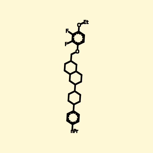 CCCc1ccc(C2CCC(C3CCC4CC(COc5ccc(OCC)c(F)c5F)CCC4C3)CC2)cc1